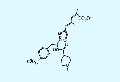 CCCCOc1ccc(C[C@H](NC(=O)C2CCN(C)CC2)c2nc(/C=C(C)/C=C(/C)C(=O)OCC)cs2)cc1